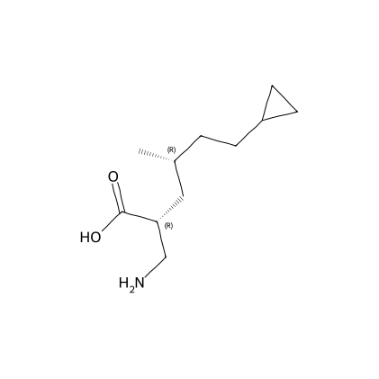 C[C@H](CCC1CC1)C[C@H](CN)C(=O)O